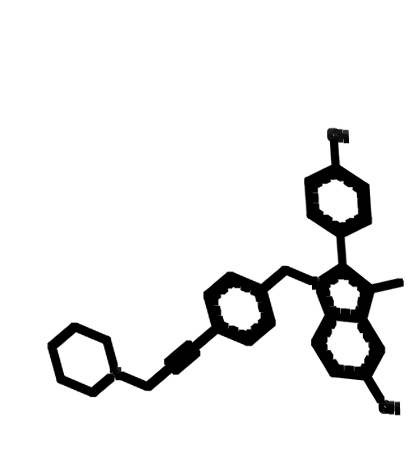 Cc1c(-c2ccc(O)cc2)n(Cc2ccc(C#CCN3CCCCC3)cc2)c2ccc(O)cc12